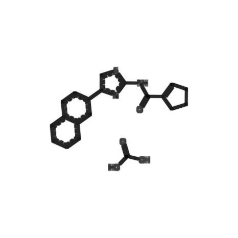 O=C(Nc1nc(-c2ccc3ccccc3c2)cs1)C1=CCCC1.O=C(O)O